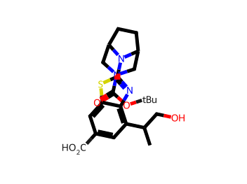 CC(CO)c1cc(C(=O)O)cc2sc(N3C4CCC3CN(C(=O)OC(C)(C)C)C4)nc12